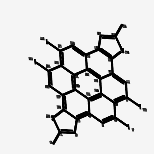 Cc1cc2c3cc(I)c4c(I)cc5c6sc(C)cc6c6cc(I)c7c(I)cc(c2s1)c1c7c6c5c4c31